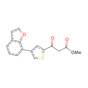 COC(=O)CC(=O)c1cc(-c2cccc3ccoc23)cs1